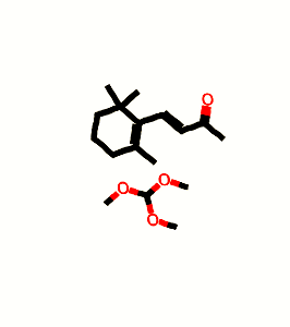 CC(=O)C=CC1=C(C)CCCC1(C)C.COC(OC)OC